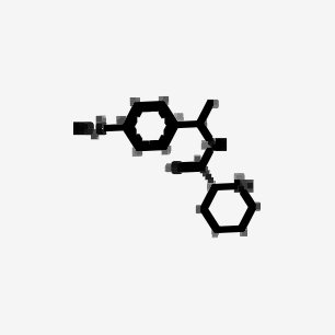 CC(NC(=O)[C@H]1CCCCN1)c1ccc(C(=O)O)cc1